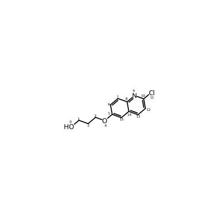 OCCCOc1ccc2nc(Cl)ccc2c1